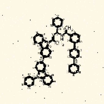 C/C(=N\C(NC(C)c1cccc(-c2ccc(-c3ccccc3)cc2)c1)c1ccccc1)n1c2ccccc2c2cc(-c3ccc4c(c3)c3ccccc3n4-c3ccccc3)ccc21